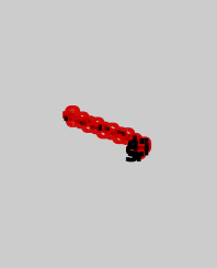 C=C(C)C(=O)OCCOCCOCCOCCOCCOCCOCCOCCOCC(C)C[Si](C)(O[Si](C)(C)C)O[Si](C)(C)C